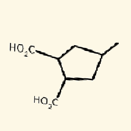 CC1CC(C(=O)O)C(C(=O)O)C1